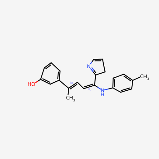 C/C(=C\C=C(\Nc1ccc(C)cc1)C1=NC=CC1)c1cccc(O)c1